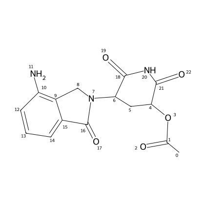 CC(=O)OC1CC(N2Cc3c(N)cccc3C2=O)C(=O)NC1=O